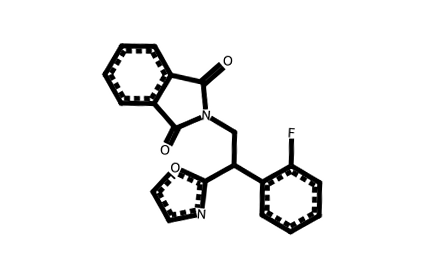 O=C1c2ccccc2C(=O)N1CC(c1ncco1)c1ccccc1F